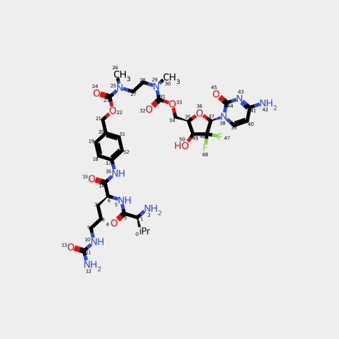 CC(C)[C@H](N)C(=O)N[C@@H](CCCNC(N)=O)C(=O)Nc1ccc(COC(=O)N(C)CCN(C)C(=O)OC[C@H]2O[C@@H](n3ccc(N)nc3=O)C(F)(F)C2O)cc1